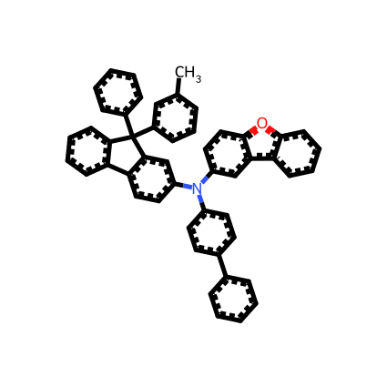 Cc1cccc(C2(c3ccccc3)c3ccccc3-c3ccc(N(c4ccc(-c5ccccc5)cc4)c4ccc5oc6ccccc6c5c4)cc32)c1